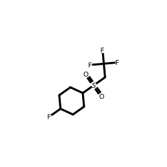 O=S(=O)(CC(F)(F)F)C1CCC(F)CC1